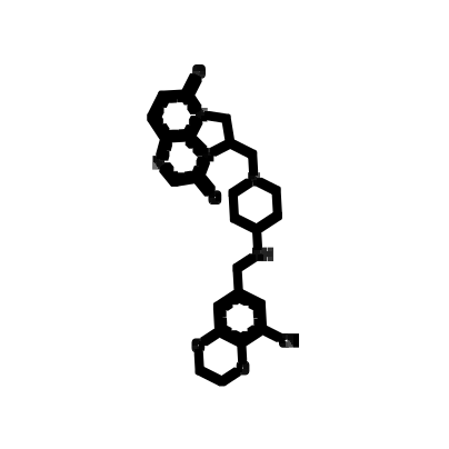 N#Cc1cc(CNC2CCN(CC3Cn4c(=O)ccc5ncc(=O)n3c54)CC2)cc2c1OCCO2